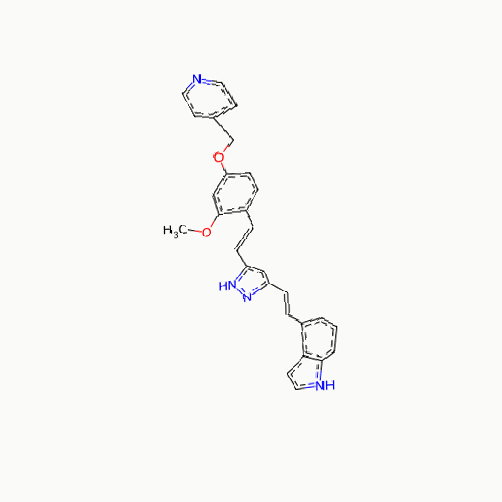 COc1cc(OCc2ccncc2)ccc1C=Cc1cc(C=Cc2cccc3[nH]ccc23)n[nH]1